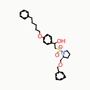 O=S(=O)(CC(O)c1ccc(OCCCCCc2ccccc2)cc1)N1CCC[C@H]1COCc1ccccc1